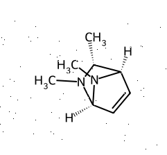 C[C@@H]1[C@H]2C=C[C@@H](N1C)N2C